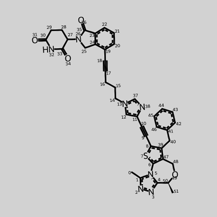 Cc1nnc2n1-c1sc(C#Cc3cn(CCCC#Cc4cccc5c4CN(C4CCC(=O)NC4=O)C5=O)cn3)c(Cc3ccccc3)c1CO[C@H]2C